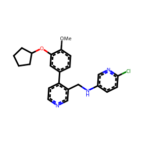 COc1ccc(-c2ccncc2CNc2ccc(Cl)nc2)cc1OC1CCCC1